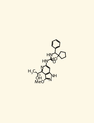 COc1n[nH]c2cc(NC(=O)NC(c3ccccc3)C3(O)CCCC3)nc([C@H](C)O)c12